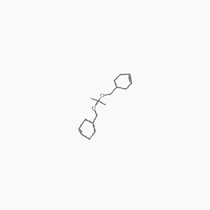 CC(C)(OCC1CC=CCC1)OCC1CC=CCC1